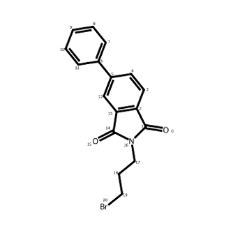 O=C1c2ccc(-c3ccccc3)cc2C(=O)N1CCCBr